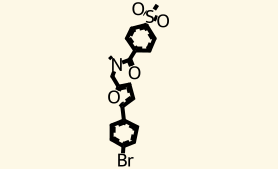 CN(Cc1ccc(-c2ccc(Br)cc2)o1)C(=O)c1ccc(S(C)(=O)=O)cc1